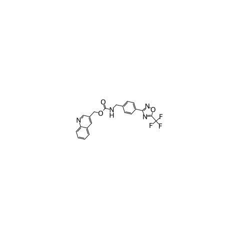 O=C(NCc1ccc(-c2noc(C(F)(F)F)n2)cc1)OCc1cnc2ccccc2c1